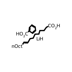 CCCCCCCCC=CCCCCCCCC(=O)O.O=C(O)c1ccccc1.[LiH]